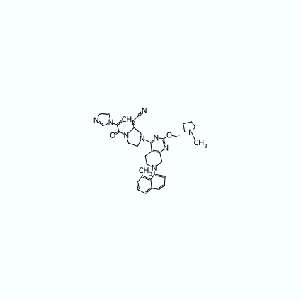 C=C(C(=O)N1CCN(c2nc(OC[C@@H]3CCCN3C)nc3c2CCN(c2cccc4cccc(C)c24)C3)C[C@@H]1CC#N)n1ccnc1